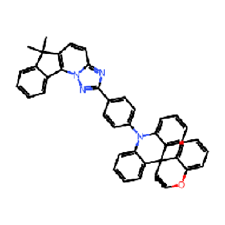 CC1(C)c2ccccc2-c2c1ccc1nc(-c3ccc(N4c5ccccc5C5(c6ccccc6Oc6ccccc65)c5ccccc54)cc3)nn21